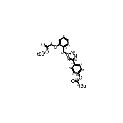 CC(C)(C)OC(=O)COc1ccccc1Cn1nnc(-c2ccc(OC(=O)C(C)(C)C)cc2)n1